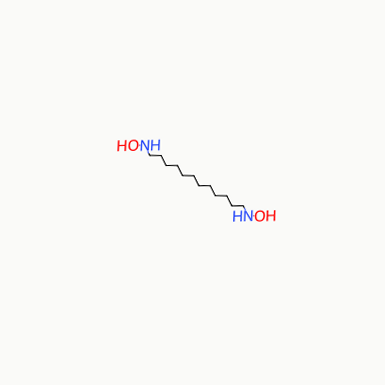 ONCCCCCCCCCCCCNO